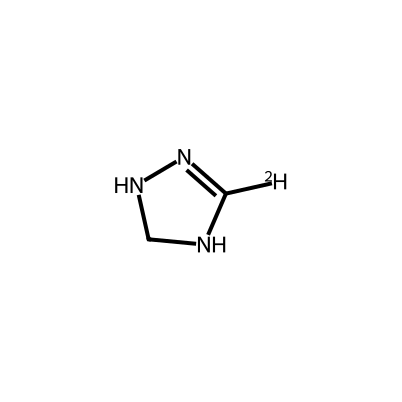 [2H]C1=NNCN1